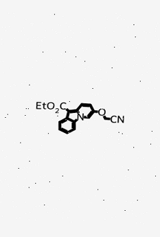 CCOC(=O)c1c2ccccc2n2cc(OCC#N)ccc12